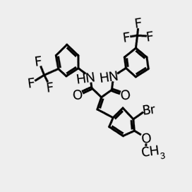 COc1ccc(C=C(C(=O)Nc2cccc(C(F)(F)F)c2)C(=O)Nc2cccc(C(F)(F)F)c2)cc1Br